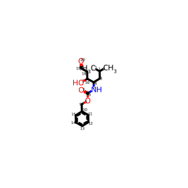 CC(C)CC(NC(=O)OCc1ccccc1)C(O)C[C]=O